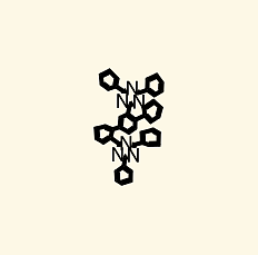 c1ccc(-c2nc(-c3ccccc3)nc(-c3ccccc3-c3ccc(-c4ccccc4)c(-c4nc(-c5ccccc5)nc(-c5ccccc5)n4)c3)n2)cc1